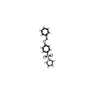 O=S(=O)(c1ccc(OCc2ccccc2)cc1)N1CCCC1